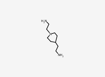 NCCC1CCN(CCN)CC1